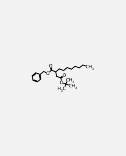 CCCCCCCCC(CC(=O)OC(C)(C)C)C(=O)OCc1ccccc1